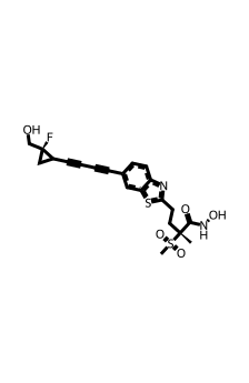 C[C@@](CCc1nc2ccc(C#CC#CC3C[C@]3(F)CO)cc2s1)(C(=O)NO)S(C)(=O)=O